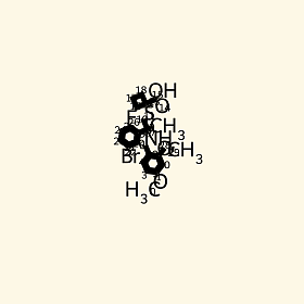 COc1ccc(CN[C@@](C)(CSC2(C(=O)O)CCC2)c2cc(Br)ccc2F)c(OC)c1